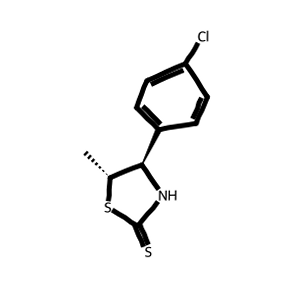 C[C@H]1SC(=S)N[C@@H]1c1ccc(Cl)cc1